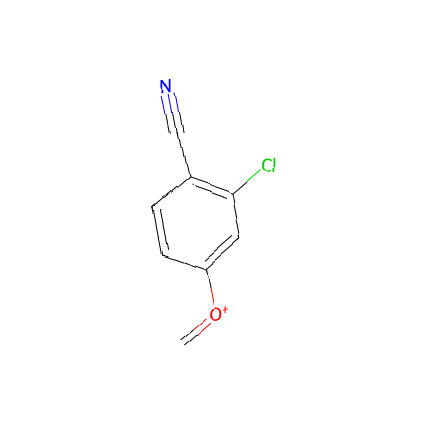 C=[O+]c1ccc(C#N)c(Cl)c1